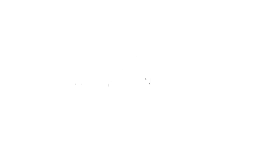 CCCCN1c2ccccc2C(C)C12Oc1c(cccc1OC)C=C2C